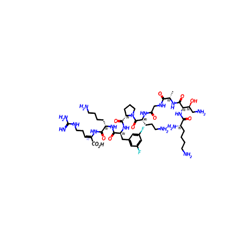 C[C@H](NC(=O)[C@@H](NC(=O)[C@@H](N)CCCCN)[C@@H](O)CN)C(=O)NCC(=O)N[C@H](CCCN)C(=O)N1CCC[C@H]1C(=O)N[C@@H](Cc1cc(F)cc(F)c1)C(=O)N[C@@H](CCCCN)C(=O)N/C(=C\CCNC(=N)N)C(=O)O